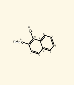 CCCCCCc1ccc2ccccc2c1[O]